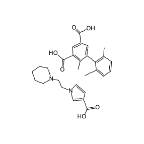 Cc1cccc(C)c1-c1cc(C(=O)O)cc(C(=O)O)c1C.O=C(O)c1ccn(CCN2CCCCC2)c1